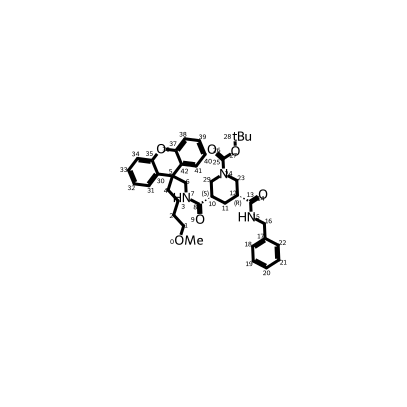 COCCCCC1(CNC(=O)[C@H]2C[C@@H](C(=O)NCc3ccccc3)CN(C(=O)OC(C)(C)C)C2)c2ccccc2Oc2ccccc21